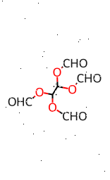 O=CO[C](OC=O)[C](OC=O)OC=O